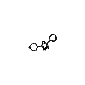 c1ccc(-c2nnc(C3CC[N]CC3)o2)cc1